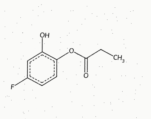 CCC(=O)Oc1ccc(F)cc1O